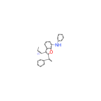 C=C(c1ccccc1)c1oc2c(Nc3ccccc3)cccc2c1/C=C\C